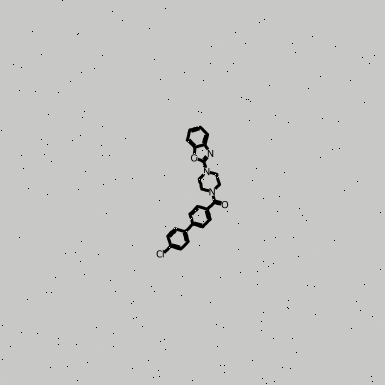 O=C(c1ccc(-c2ccc(Cl)cc2)cc1)N1CCN(c2nc3ccccc3o2)CC1